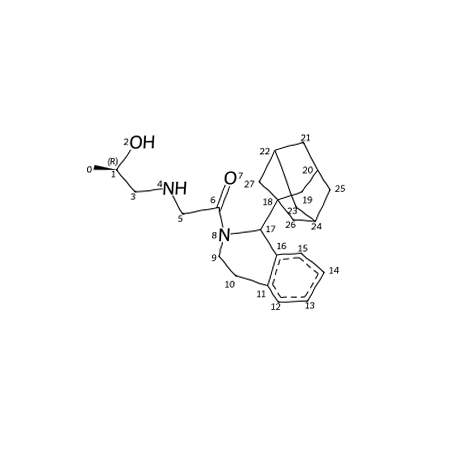 C[C@@H](O)CNCC(=O)N1CCc2ccccc2C1C12CC3CC(CC(C3)C1)C2